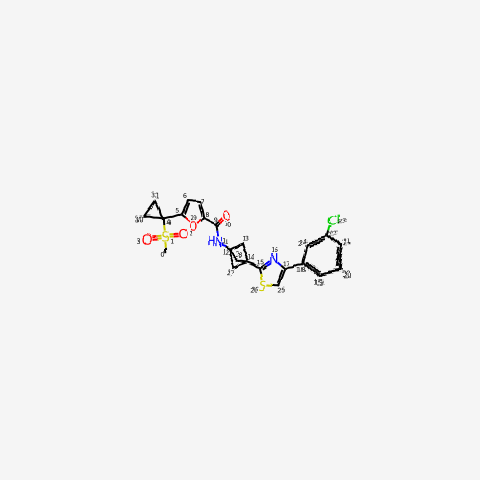 CS(=O)(=O)C1(c2ccc(C(=O)NC34CC(c5nc(-c6cccc(Cl)c6)cs5)(C3)C4)o2)CC1